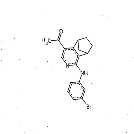 CC(=O)c1cnc(Nc2cccc(Br)c2)c2c1C1CCC2C1